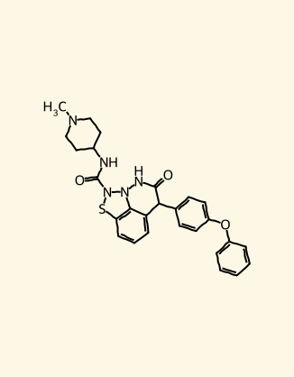 CN1CCC(NC(=O)N2Sc3cccc4c3N2NC(=O)C4c2ccc(Oc3ccccc3)cc2)CC1